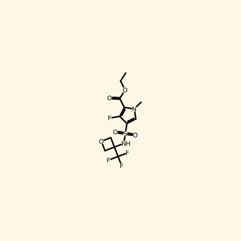 CCOC(=O)c1c(F)c(S(=O)(=O)NC2(C(F)(F)F)COC2)cn1C